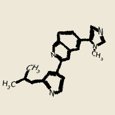 CC(C)Cc1cc(-c2cc3cc(-c4cncn4C)ccc3cn2)ccn1